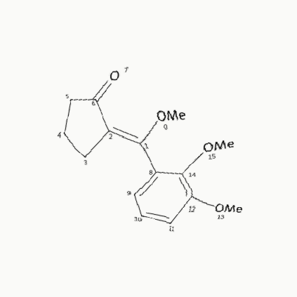 COC(=C1CCCC1=O)c1cccc(OC)c1OC